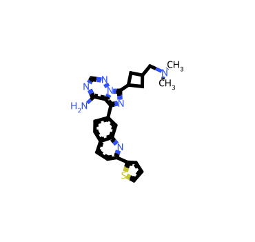 CN(C)CC1CC(c2nc(-c3ccc4ccc(-c5cccs5)nc4c3)c3c(N)ncnn23)C1